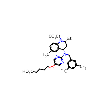 CCOC(=O)N1c2ccc(C(F)(F)F)cc2[C@@H](N(Cc2cc(C(F)(F)F)cc(C(F)(F)F)c2)c2ncc(OCCCCC(=O)O)cn2)C[C@H]1CC